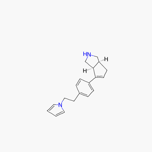 C1=C(c2ccc(CCn3cccc3)cc2)[C@H]2CNC[C@H]2C1